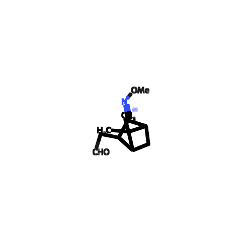 CO/N=C1/C(CC=O)C2CC1C2(C)C